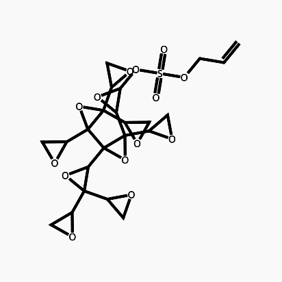 C=CCOS(=O)(=O)OC1OC1C1(C2CO2)OC1(C1OC1(C1CO1)C1CO1)C1(C2CO2)OC1(C1CO1)C1CO1